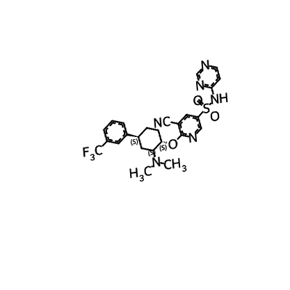 CN(C)[C@H]1C[C@@H](c2cccc(C(F)(F)F)c2)CC[C@@H]1Oc1ncc(S(=O)(=O)Nc2ccncn2)cc1C#N